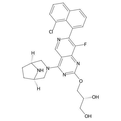 OC[C@@H](O)COc1nc(N2C[C@H]3CC[C@@H](C2)N3)c2cnc(-c3cccc4cccc(Cl)c34)c(F)c2n1